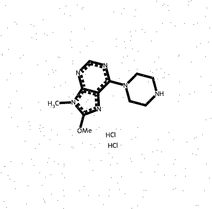 COc1nc2c(N3CCNCC3)ncnc2n1C.Cl.Cl